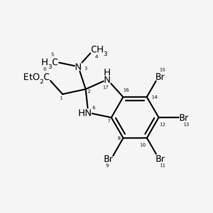 CCOC(=O)CC1(N(C)C)Nc2c(Br)c(Br)c(Br)c(Br)c2N1